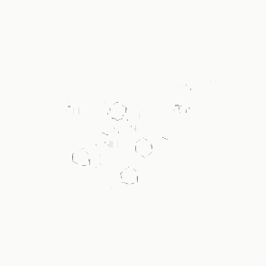 CCOC(=O)C(C)OC(=O)c1cc(Oc2ccc(C(F)(F)F)cc2Cl)ccc1[N+](=O)[O-].C[S+](C)C.O=C(Nc1nc(OC(F)F)cc(OC(F)F)n1)NS(=O)(=O)c1ccccc1C(=O)O.O=C(O)CNCP(=O)([O-])O